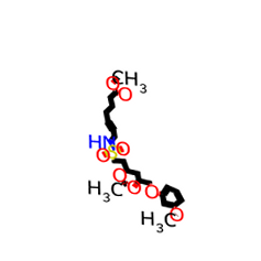 COC(=O)CCCC#CCNS(=O)(=O)CCCCC(COc1cccc(OC)c1)OC(C)=O